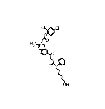 NC1=Nc2ccc(C(=O)CCC(=O)N(CCCCCCO)c3ccccc3)cc2CN1CC(=O)Oc1ccc(Cl)cc1Cl